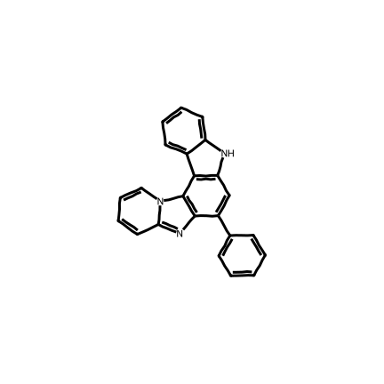 c1ccc(-c2cc3[nH]c4ccccc4c3c3c2nc2ccccn23)cc1